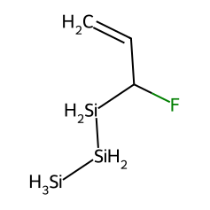 C=CC(F)[SiH2][SiH2][SiH3]